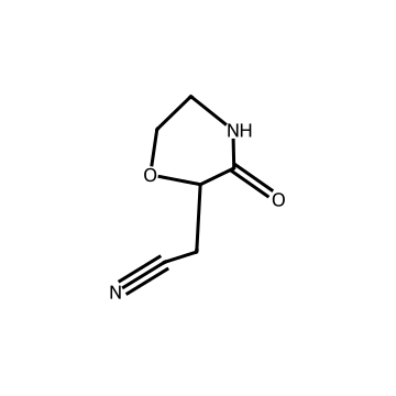 N#CCC1OCCNC1=O